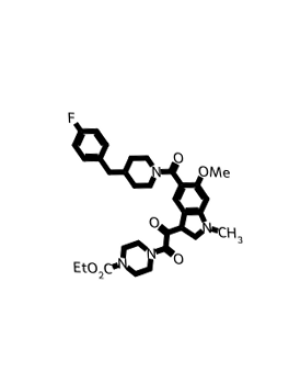 CCOC(=O)N1CCN(C(=O)C(=O)C2CN(C)c3cc(OC)c(C(=O)N4CCC(Cc5ccc(F)cc5)CC4)cc32)CC1